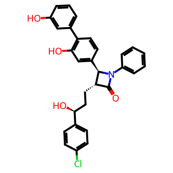 O=C1[C@H](CC[C@H](O)c2ccc(Cl)cc2)[C@@H](c2ccc(-c3cccc(O)c3)c(O)c2)N1c1ccccc1